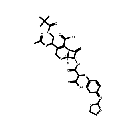 CC(=O)OC(COC(=O)C(C)(C)C)C1=C(C(=O)O)N2C(=O)[C@@H](NC(=O)C(SC3=CCC(=NC4SCCS4)C=C3)C(=O)O)[C@H]2SC1